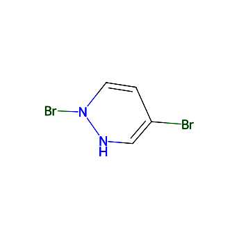 BrC1=CNN(Br)C=C1